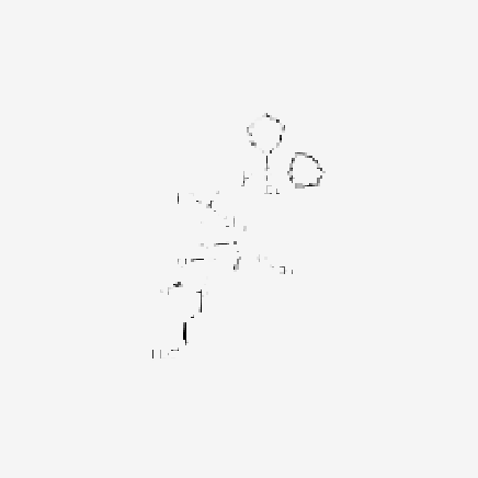 CC=CC[C@@H]1C[C@@H]([C@H](CC(C)(C)CCO[Si](c2ccccc2)(c2ccccc2)C(C)(C)C)NC(=O)OC(C)(C)C)OC1=O